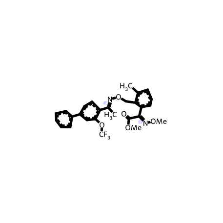 CO/N=C(/C(=O)OC)c1cccc(C)c1CO/N=C(\C)c1ccc(-c2ccccc2)cc1OC(F)(F)F